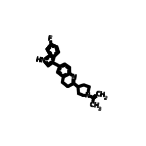 C=C(C)N1CCC(C2=Nc3ccc(-c4c[nH]c5cc(F)ccc45)cc3CC2)CC1